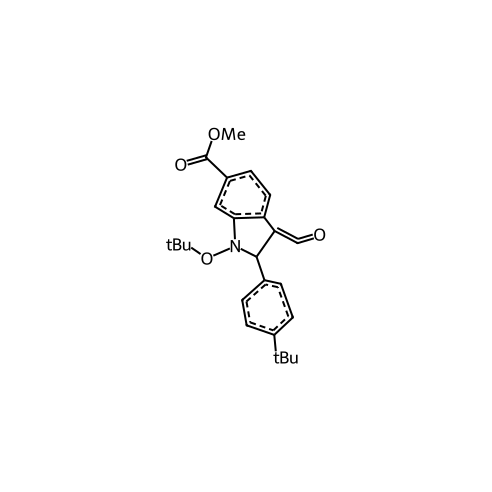 COC(=O)c1ccc2c(c1)N(OC(C)(C)C)C(c1ccc(C(C)(C)C)cc1)C2=C=O